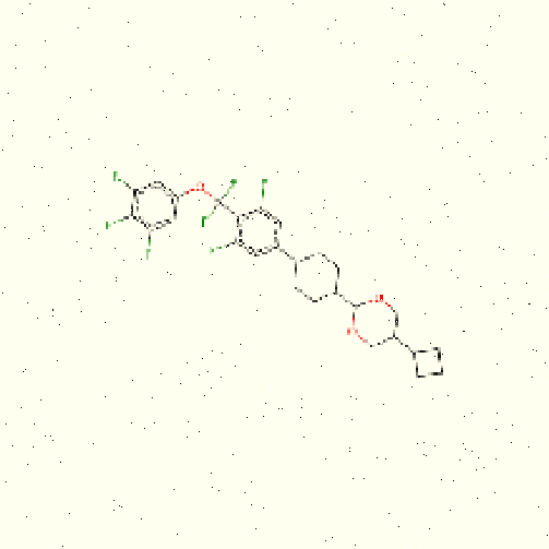 Fc1cc(OC(F)(F)c2c(F)cc(C3CCC(C4OCC(C5CCC5)CO4)CC3)cc2F)cc(F)c1F